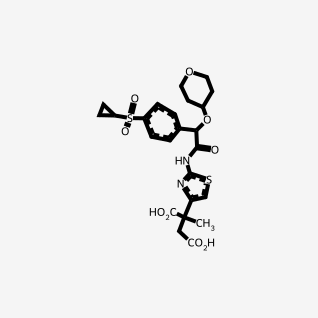 CC(CC(=O)O)(C(=O)O)c1csc(NC(=O)C(OC2CCOCC2)c2ccc(S(=O)(=O)C3CC3)cc2)n1